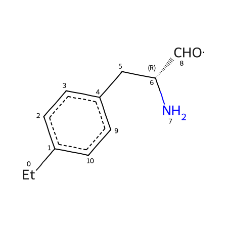 CCc1ccc(C[C@@H](N)[C]=O)cc1